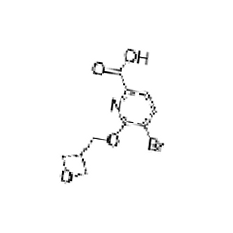 O=C(O)c1ccc(Br)c(OCC2COC2)n1